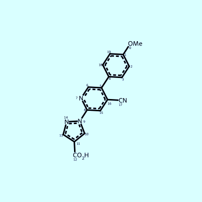 COc1ccc(-c2cnc(-n3cc(C(=O)O)cn3)cc2C#N)cc1